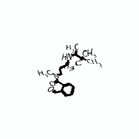 CC(NCCCN(C)C(=O)c1ccccc1C=O)C(C)(C)C